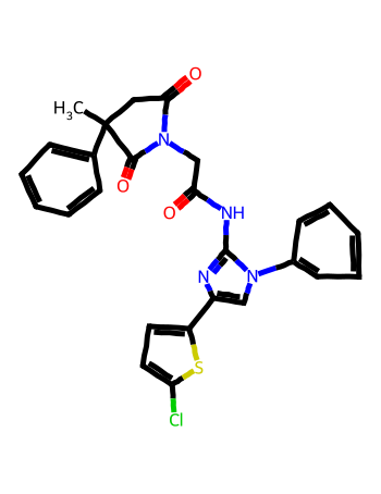 CC1(c2ccccc2)CC(=O)N(CC(=O)Nc2nc(-c3ccc(Cl)s3)cn2-c2ccccc2)C1=O